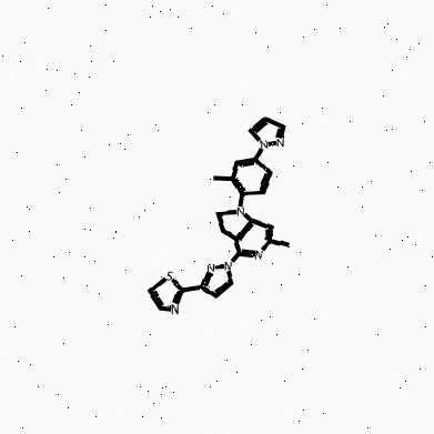 Cc1cc2c(c(-n3ccc(-c4nccs4)n3)n1)CCN2c1ccc(-n2cccn2)cc1C